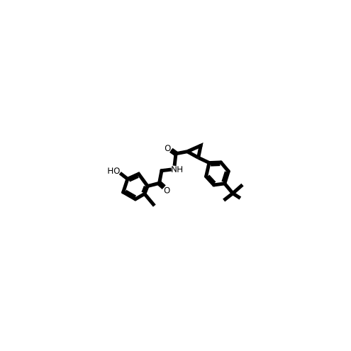 Cc1ccc(O)cc1C(=O)CNC(=O)C1CC1c1ccc(C(C)(C)C)cc1